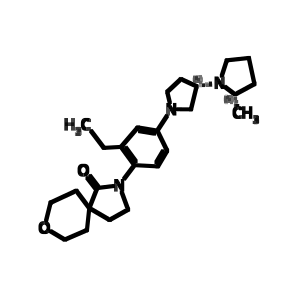 CCc1cc(N2CC[C@H](N3CCC[C@@H]3C)C2)ccc1N1CCC2(CCOCC2)C1=O